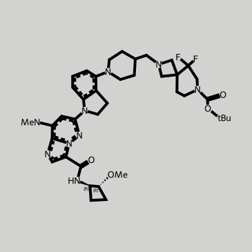 CNc1cc(N2CCc3c(N4CCC(CN5CC6(CCN(C(=O)OC(C)(C)C)CC6(F)F)C5)CC4)cccc32)nn2c(C(=O)N[C@@H]3CC[C@H]3OC)cnc12